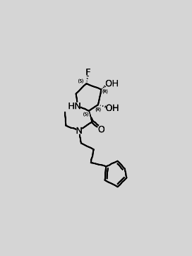 CCN(CCCc1ccccc1)C(=O)[C@H]1NC[C@H](F)[C@H](O)[C@@H]1O